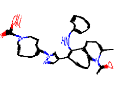 CC(=O)N1c2ccc(-c3cnn(C4CCN(C(=O)O)CC4)c3)c(Nc3ccccc3)c2CCC1C